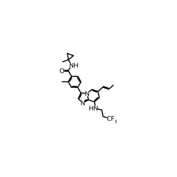 CC=Cc1cc(NCCC(F)(F)F)c2ncc(-c3ccc(C(=O)NC4(C)CC4)c(C)c3)n2c1